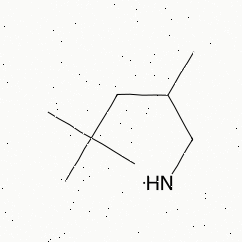 CC(C[NH])CC(C)(C)C